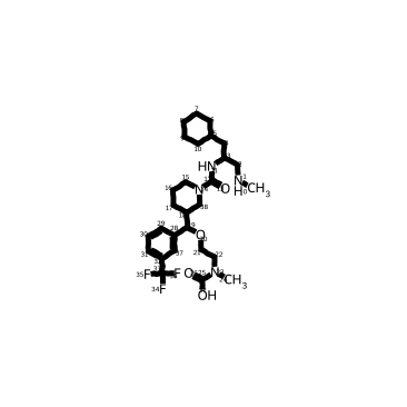 CNCC(CC1CCCCC1)NC(=O)N1CCCC(C(OCCN(C)C(=O)O)c2cccc(C(F)(F)F)c2)C1